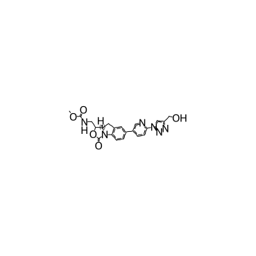 COC(=O)NCC1OC(=O)N2c3ccc(-c4ccc(-n5cc(CO)nn5)nc4)cc3C[C@@H]12